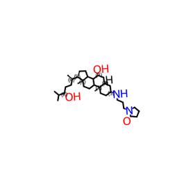 CC(C)[C@H](O)CC[C@@H](C)[C@H]1CCC2C3C(CC[C@@]21C)[C@@]1(C)CC[C@H](NCCCN2CCCC2=O)C[C@@H]1C[C@H]3O